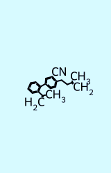 C=C(C)CCc1ccc(-c2ccccc2C(=C)C)cc1C#N